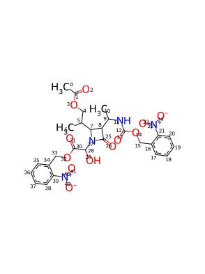 CC(=O)OCC(C)C1C(C(C)NC(=O)OCc2ccccc2[N+](=O)[O-])C(=O)N1C(O)C(=O)OCc1ccccc1[N+](=O)[O-]